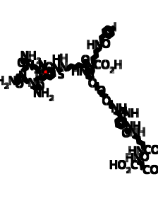 N=N/C(=C\NCCOCCOCCOCCC(=O)NC(CCCCNC(=S)Nc1ccc(CC2CN(CC(N)=O)CCN(CC(N)=O)CCN(CC(N)=O)CCN2CC(N)=O)cc1)C(=O)NC(CCCCNC(=O)Cc1ccc(I)cc1)C(=O)O)c1cccc(NC(=O)NCCCCC(NC(=O)NC(CCC(=O)O)C(=O)O)C(=O)O)c1